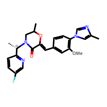 COc1cc(C=C2OC(C)CN([C@@H](C)c3ccc(F)cn3)C2=O)ccc1-n1cnc(C)c1